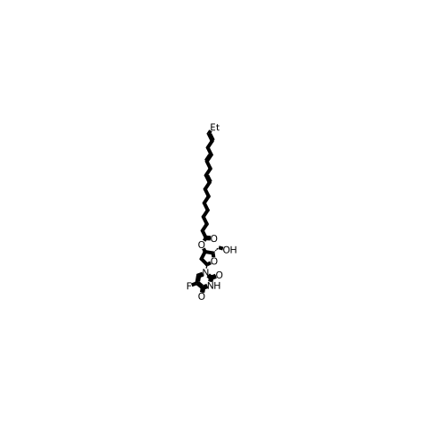 CCC=CCC=CCC=CCCCCCCCC(=O)OC1C[C@@H](n2cc(F)c(=O)[nH]c2=O)O[C@H]1CO